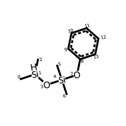 C[SiH](C)O[Si](C)(C)Oc1ccccc1